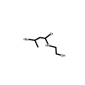 CCCCC(C)CC(CC)NCCO